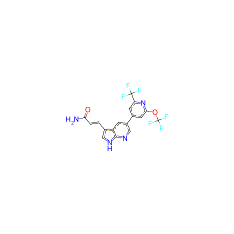 NC(=O)/C=C/c1c[nH]c2ncc(-c3cc(OC(F)(F)F)nc(C(F)(F)F)c3)cc12